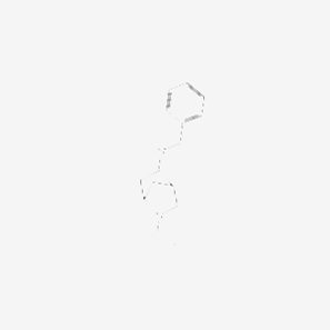 O=C(O)N1CC2CC1CC2NCc1ccccc1